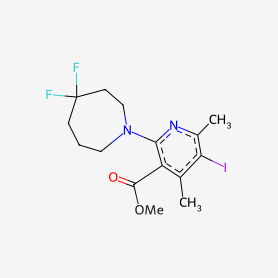 COC(=O)c1c(N2CCCC(F)(F)CC2)nc(C)c(I)c1C